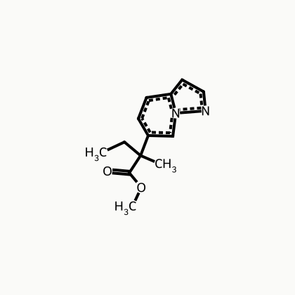 CCC(C)(C(=O)OC)c1ccc2ccnn2c1